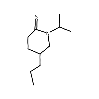 CCCC1CCC(=S)N(C(C)C)C1